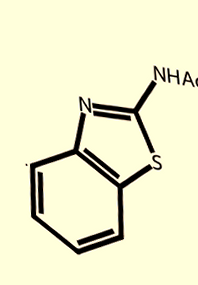 CC(=O)Nc1nc2[c]cccc2s1